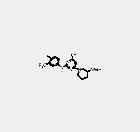 CCCc1cc(N2CCCC(NC)C2)nc(Nc2ccc(C)c(C(F)(F)F)c2)n1